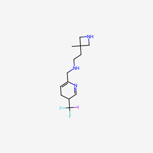 CC1(CCNCC2=CCC(C(F)(F)I)C=N2)CNC1